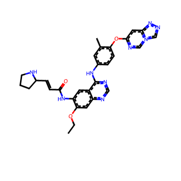 CCOc1cc2ncnc(Nc3ccc(Oc4cc5nncn5cn4)c(C)c3)c2cc1NC(=O)C=CC1CCCN1